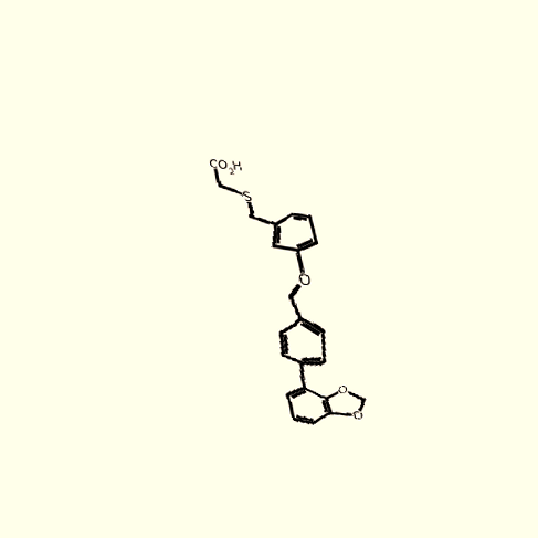 O=C(O)CSCc1cccc(OCc2ccc(-c3cccc4c3OCO4)cc2)c1